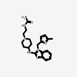 Cc1ccc(Cn2c(NC3CCN(CCNC(N)=O)CC3)nc3ccccc32)o1